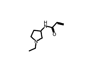 C=CC(=O)NC1CCN(CC)C1